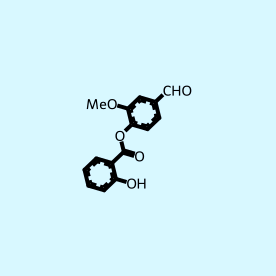 COc1cc(C=O)ccc1OC(=O)c1ccccc1O